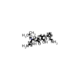 CC(C)O/N=C(\C(=O)NC1C(=O)N2C(C(=O)O)=C(CSc3nnnn3CCN)CS[C@H]12)c1nsc(N)n1